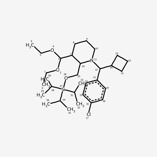 CCOC(OCC)C1CCCN(C(c2ccc(Cl)cc2)C2CCC2)C1CO[Si](C(C)C)(C(C)C)C(C)C